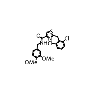 COc1ccc(CNC(=O)c2csc(Cc3c(Cl)cccc3Cl)n2)cc1OC